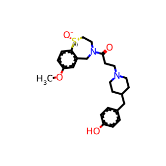 COc1ccc2c(c1)CN(C(=O)CCN1CCC(Cc3ccc(O)cc3)CC1)CC[S@+]2[O-]